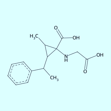 CC(c1ccccc1)C1C(C)C1(NCC(=O)O)C(=O)O